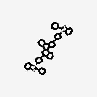 c1ccc(-c2nc3ccccc3n2-c2ccc(-c3ccc4c(c3)c3ccccc3c3cc(-c5ccc(-n6c(-c7ccccc7)nc7ccccc76)cc5)c5ccccc5c43)cc2)cc1